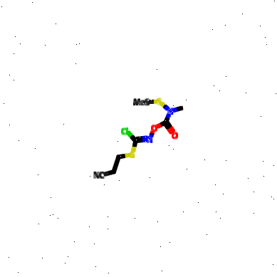 CSSN(C)C(=O)ON=C(Cl)SCCC#N